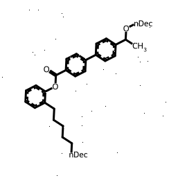 CCCCCCCCCCCCCCCc1ccccc1OC(=O)c1ccc(-c2ccc(C(C)OCCCCCCCCCC)cc2)cc1